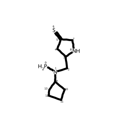 PN(CC1CC(=S)CN1)C1CCCC1